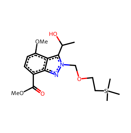 COC(=O)c1ccc(OC)c2c(C(C)O)n(COCC[Si](C)(C)C)nc12